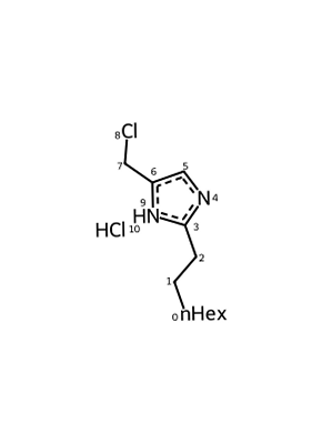 CCCCCCCCc1ncc(CCl)[nH]1.Cl